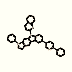 c1ccc(-c2ccc(-c3ccc4c(c3)c3cc5ccn(-c6ccccc6)c5cc3n4-c3ccc4ccccc4n3)cn2)cc1